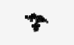 CNc1nccc(-c2cc(NCCCN3C(=O)c4ccccc4C3=O)c3cc(OC)ccc3c2)n1